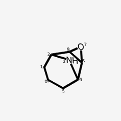 [CH]1CC2NC(C1)C1OC21